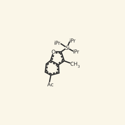 CC(=O)c1ccc2oc([Si](C(C)C)(C(C)C)C(C)C)c(C)c2c1